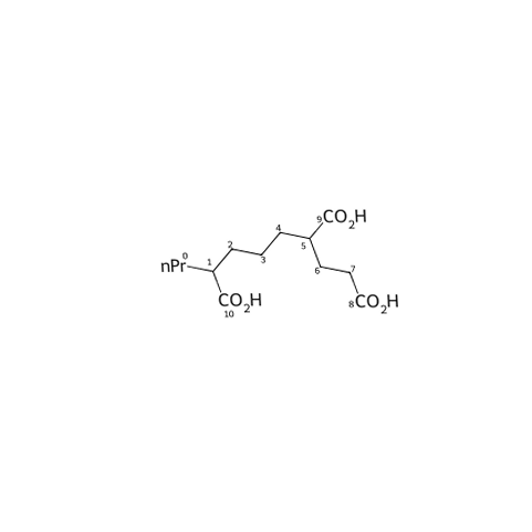 CCCC(CCCC(CCC(=O)O)C(=O)O)C(=O)O